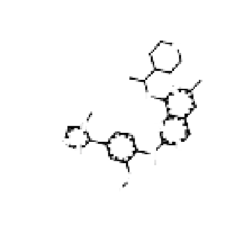 CCOc1cc(-c2nncn2C)ccc1Nc1ncc2cc(C)nc(NC(C)C3CCOCC3)c2n1